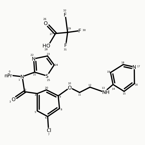 CCCN(C(=O)c1cc(Cl)cc(OCCNc2ccncc2)c1)c1nccs1.O=C(O)C(F)(F)F